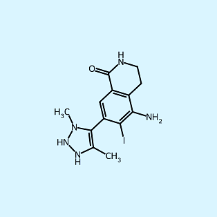 CC1=C(c2cc3c(c(N)c2I)CCNC3=O)N(C)NN1